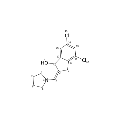 OC1/C(=C\N2CCCC2)Cc2c(Cl)cc(Cl)cc21